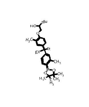 CCC(CC)(c1ccc(OCC(O)C(C)(C)C)c(C)c1)c1ccc(B2OC(C)(C)C(C)(C)O2)c(C)c1